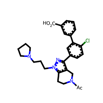 CC(=O)N1CCc2c(c(-c3ccc(Cl)c(-c4cccc(C(=O)O)c4)c3)nn2CCCN2CCCC2)C1